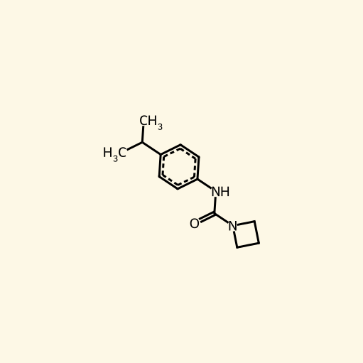 CC(C)c1ccc(NC(=O)N2CCC2)cc1